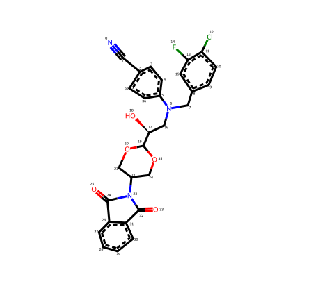 N#Cc1ccc(N(Cc2ccc(Cl)c(F)c2)C[C@H](O)C2OCC(N3C(=O)c4ccccc4C3=O)CO2)cc1